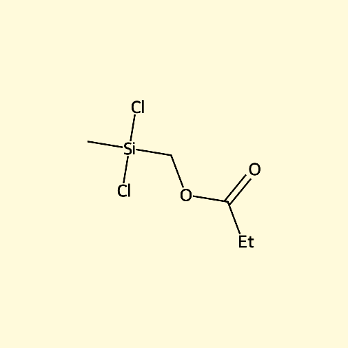 CCC(=O)OC[Si](C)(Cl)Cl